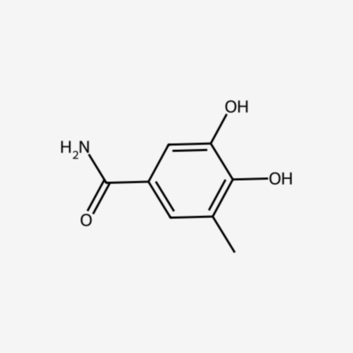 Cc1cc(C(N)=O)cc(O)c1O